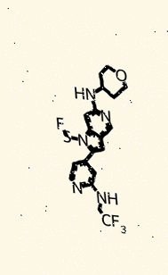 FSn1c(-c2ccnc(NCC(F)(F)F)c2)cc2cnc(NC3CCOCC3)cc21